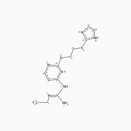 NC(=NCC(F)(F)F)Nc1ccnc(OCCSc2ncc[nH]2)n1